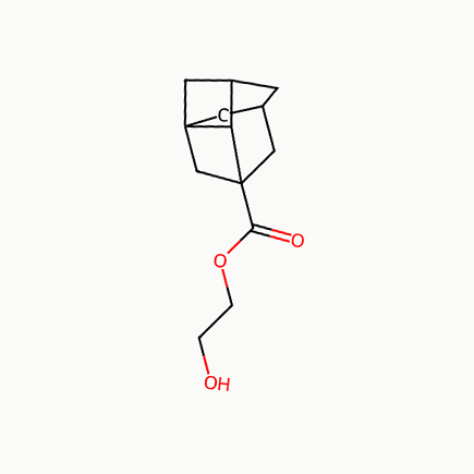 O=C(OCCO)C12CC3CC4CC(C3)(C1)C42